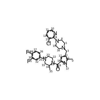 Cc1c(CN2CCN(c3ncccc3Cl)CC2)cc(C(=O)N2CCN(c3ccc(F)c(F)c3)CC2C)n1C